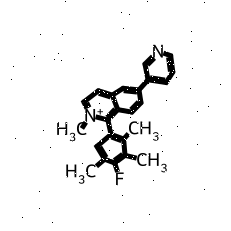 Cc1cc(-c2c3ccc(-c4cccnc4)cc3cc[n+]2C)c(C)c(C)c1F